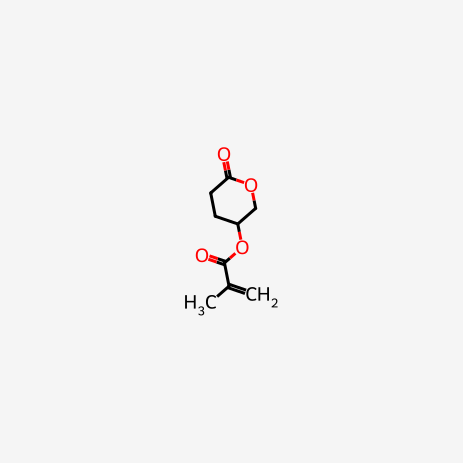 C=C(C)C(=O)OC1CCC(=O)OC1